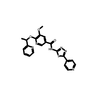 COc1cc(C(=O)Nc2nnc(-c3ccncc3)s2)cnc1OC(C)c1ccccn1